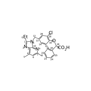 CCc1nc2c(C)cc(C)nc2n1Cc1ccc(OC(C(=O)O)c2ccccc2)c(Cl)c1